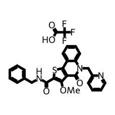 COc1c(C(=O)NCc2ccccc2)sc2c1c(=O)n(Cc1ccccn1)c1ccccc21.O=C(O)C(F)(F)F